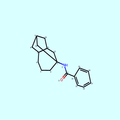 O=C(NC12CCCC3CC(CC3C1)C2)c1ccccc1